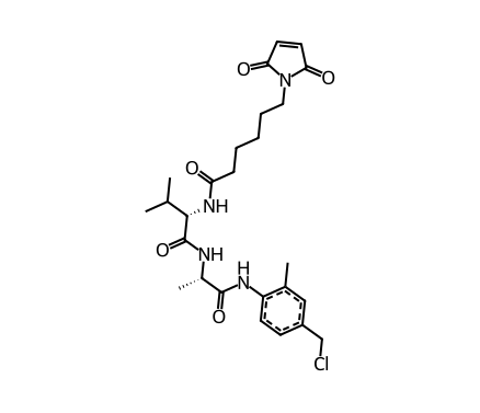 Cc1cc(CCl)ccc1NC(=O)[C@H](C)NC(=O)[C@@H](NC(=O)CCCCCN1C(=O)C=CC1=O)C(C)C